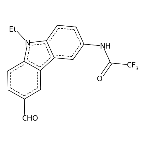 CCn1c2ccc(C=O)cc2c2cc(NC(=O)C(F)(F)F)ccc21